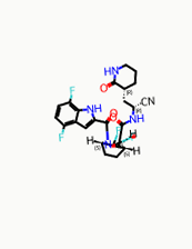 N#C[C@@H](C[C@H]1CCCNC1=O)NC(=O)[C@H]1[C@@H]2CC[C@@H](CC2(F)F)N1C(=O)c1cc2c(F)ccc(F)c2[nH]1